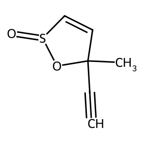 C#CC1(C)C=CS(=O)O1